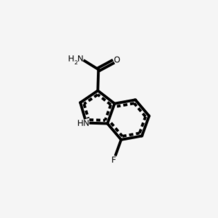 NC(=O)c1c[nH]c2c(F)cccc12